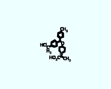 Cc1ccc(C(OC2CCN(C(C)C(=O)O)CC2)c2ccc(C)cc2)cc1.Cl